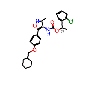 Cc1noc(-c2ccc(OCC3CCCCC3)cc2)c1NC(=O)O[C@H](C)c1ccccc1Cl